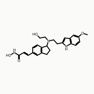 COc1ccc2[nH]c(CCN(CCO)C3CCc4cc(/C=C/C(=O)NO)ccc43)cc2c1